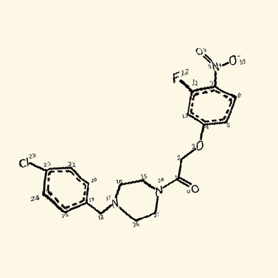 O=C(COc1ccc([N+](=O)[O-])c(F)c1)N1CCN(Cc2ccc(Cl)cc2)CC1